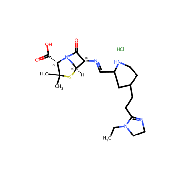 CCN1CCN=C1CCC1CCNC(C=N[C@@H]2C(=O)N3[C@@H]2SC(C)(C)[C@@H]3C(=O)O)C1.Cl